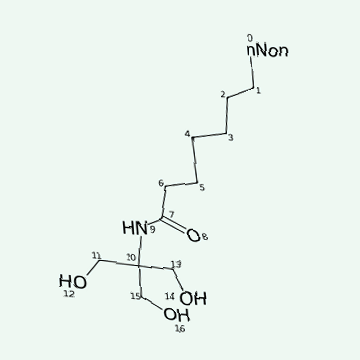 CCCCCCCCCCCCCCCC(=O)NC(CO)(CO)CO